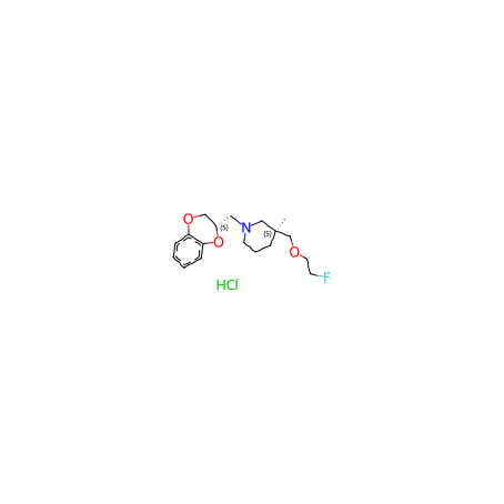 C[C@]1(COCCF)CCCN(C[C@H]2COc3ccccc3O2)C1.Cl